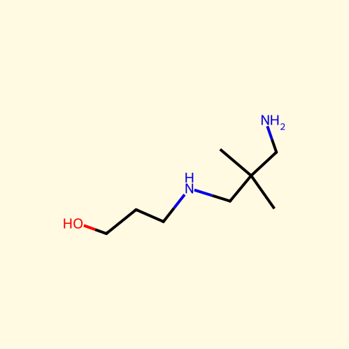 CC(C)(CN)CNCCCO